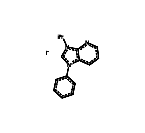 CC(C)n1c[n+](-c2ccccc2)c2cccnc21.[I-]